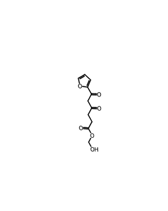 O=C(CCC(=O)OCO)CC(=O)c1ccco1